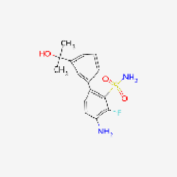 CC(C)(O)c1cccc(-c2ccc(N)c(F)c2S(N)(=O)=O)c1